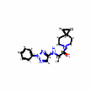 C[C@@H](Nc1cnn(-c2ccccc2)n1)C(=O)N1CCC2(CC1)CC2